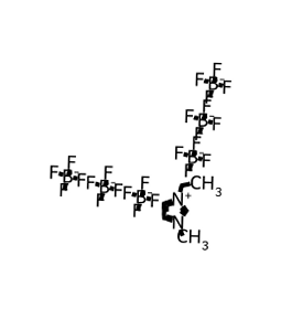 CC[n+]1ccn(C)c1.F[B-](F)(F)F.F[B-](F)(F)F.F[B-](F)(F)F.F[B-](F)(F)F.F[B-](F)(F)F.F[B-](F)(F)F